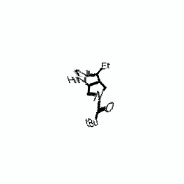 CCc1n[nH]c2c1CN(C(=O)C(C)(C)C)C2